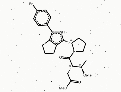 COC(=O)C[C@H](C(=O)N1CCC[C@H]1c1[nH]c(-c2ccc(Br)cc2)c2c1CCC2)[C@@H](C)OC